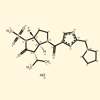 CC(C)[C@@H]1C(=O)N(S(C)(=O)=O)[C@@H]2CCN(C(=O)c3coc(CN4CCCC4)n3)[C@H]21.Cl